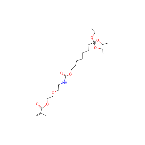 C=C(C)C(=O)OCCOCCNC(=O)OCCCCCCC[Si](OCC)(OCC)OCC